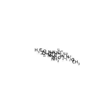 COCCN1CCN(C(=O)[C@@H]2CCN2c2nc(N)n3nc(-c4ccc(C)o4)nc3n2)CC1